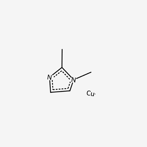 Cc1nccn1C.[Cu]